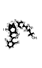 CC(C)(O)c1nnc(-c2ncc(F)c([C@]34CC[C@@H](c5cc(-c6c(F)cccc6F)nnc53)C4(C)C)n2)[nH]1